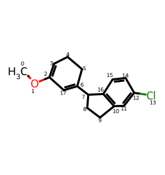 COC1=CCCC(C2CCc3cc(Cl)ccc32)=C1